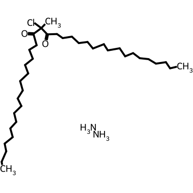 CCCCCCCCCCCCCCCCCC(=O)C(C)(Cl)C(=O)CCCCCCCCCCCCCCCCC.N.N